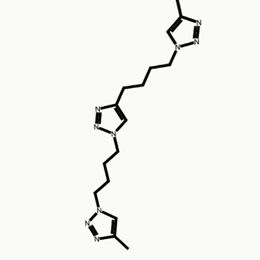 Cc1cn(CCCCc2cn(CCCCn3cc(C)nn3)nn2)nn1